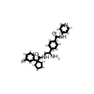 NC(CNC(=O)C1(c2cccc(F)c2)CCCC1)c1ccc(C(=O)Nc2ccncc2)cc1